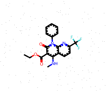 CCOC(=O)c1c(NC)c2ccc(C(F)(F)F)nc2n(-c2ccccc2)c1=O